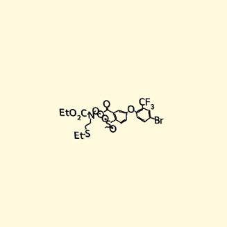 CCOC(=O)N(CCSCC)OOC(=O)c1cc(Oc2ccc(Br)cc2C(F)(F)F)ccc1S(C)(=O)=O